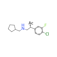 CC(=O)[C@H](CNCC1CCCC1)c1ccc(Cl)c(F)c1